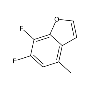 Cc1cc(F)c(F)c2occc12